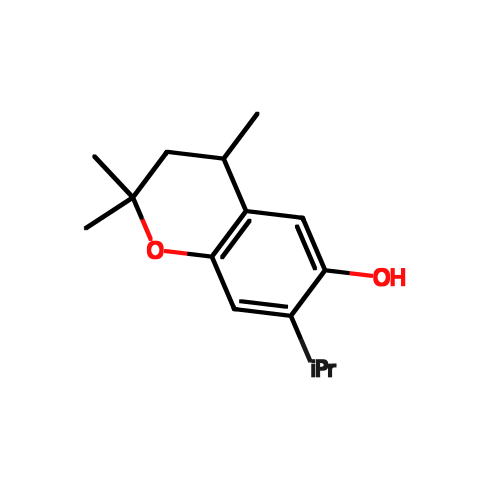 CC(C)c1cc2c(cc1O)C(C)CC(C)(C)O2